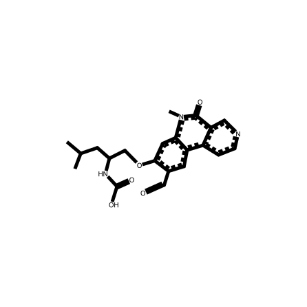 CC(C)CC(COc1cc2c(cc1C=O)c1ccncc1c(=O)n2C)NC(=O)O